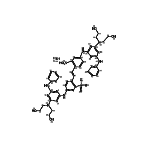 O=S(=O)([O-])c1cc(Nc2nc(Nc3ccccc3)nc(N(CCO)CCO)n2)ccc1C=Cc1ccc(Nc2nc(Nc3ccccc3)nc(N(CCO)CCO)n2)cc1S(=O)(=O)O.[H+].[KH]